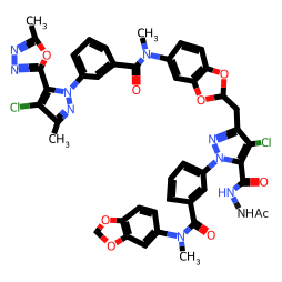 CC(=O)NNC(=O)c1c(Cl)c(CC2Oc3ccc(N(C)C(=O)c4cccc(-n5nc(C)c(Cl)c5-c5nnc(C)o5)c4)cc3O2)nn1-c1cccc(C(=O)N(C)c2ccc3c(c2)OCO3)c1